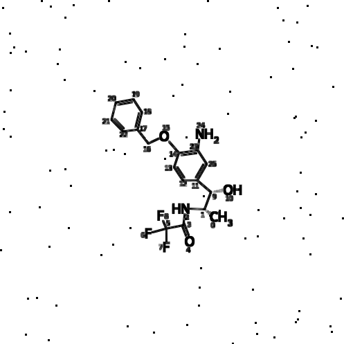 C[C@H](NC(=O)C(F)(F)F)[C@@H](O)c1ccc(OCc2ccccc2)c(N)c1